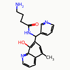 Cc1cc(C(NC(=O)CCCN)c2cccnc2)c(O)c2ncccc12